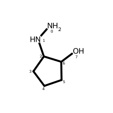 NNC1CCCC1O